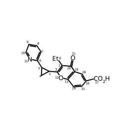 CCc1c(C2CC2c2ccccn2)oc2ccc(C(=O)O)cc2c1=O